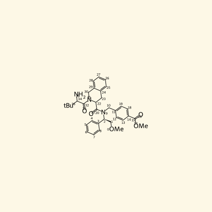 COC[C@@H](c1ccccc1)N(Cc1ccc(C(=O)OC)cc1)C(=O)C1Cc2ccccc2CN1C(=O)C(N)C(C)(C)C